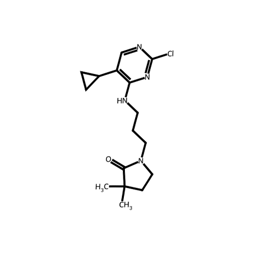 CC1(C)CCN(CCCNc2nc(Cl)ncc2C2CC2)C1=O